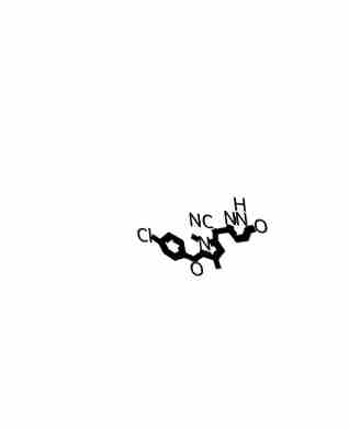 Cc1cc(C(C#N)c2ccc(=O)[nH]n2)n(C)c1C(=O)c1ccc(Cl)cc1